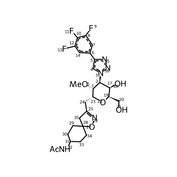 CO[C@@H]1[C@@H](n2cc(-c3cc(F)c(F)c(F)c3)nn2)[C@@H](O)[C@@H](CO)O[C@@H]1CC1=NOC2(CCC(NC(C)=O)CC2)C1